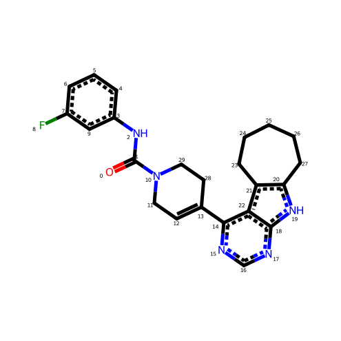 O=C(Nc1cccc(F)c1)N1CC=C(c2ncnc3[nH]c4c(c23)CCCCC4)CC1